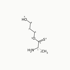 C[C@H](N)C(=S)OCCCO